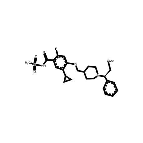 COC[C@@H](c1ccccc1)N1CCC(COc2cc(F)c(C(=O)NS(C)(=O)=O)cc2C2CC2)CC1